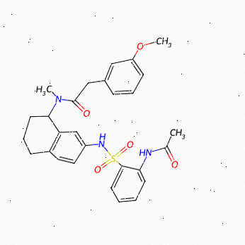 COc1cccc(CC(=O)N(C)C2CCCc3ccc(NS(=O)(=O)c4ccccc4NC(C)=O)cc32)c1